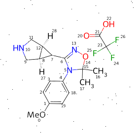 COc1ccc(N2C(C3[C@H]4CNC[C@@H]34)=NOC2(C)C)cc1.O=C(O)C(F)(F)F